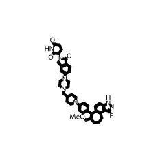 COCC1=C(c2ccc(N3CCC(CN4CCN(c5ccc6c(c5)CN([C@H]5CCC(=O)NC5=O)C6=O)CC4)CC3)cc2)c2ccc3[nH]nc(F)c3c2CCC1